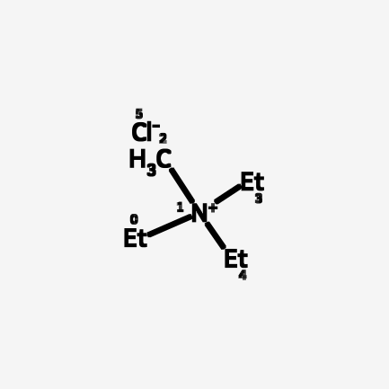 CC[N+](C)(CC)CC.[Cl-]